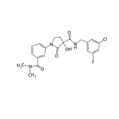 CN(C)C(=O)c1cccc(N2CCC(O)(C(=O)NCc3cc(F)cc(Cl)c3)C2=O)c1